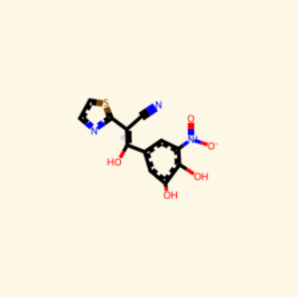 N#C/C(=C(/O)c1cc(O)c(O)c([N+](=O)[O-])c1)c1nccs1